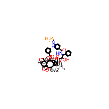 CC(=O)O[C@H]1C(=O)[C@@]2(C)[C@H]([C@H](OC(=O)c3ccccc3)[C@]3(O)C[C@H](OC(=O)[C@H](O)C(NC(=O)c4ccc(NCP)cc4)c4ccccc4)C(C)=C1C3(C)C)[C@]1(OC(C)=O)CO[C@@H]1C[C@@H]2O